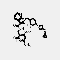 CSc1cc(C)[nH]c(=O)c1CNC(=O)c1c(C)n(CC2CCC(N3CC(OC4CC4)C3)CC2)c2ncccc12